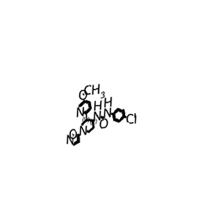 COc1ccc([C@@H]2CN(c3ccno3)CC[C@H]2NC(=O)Nc2ccc(Cl)cc2)nc1